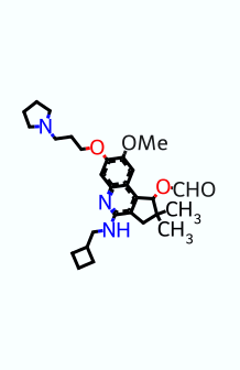 COc1cc2c3c(c(NCC4CCC4)nc2cc1OCCCN1CCCC1)CC(C)(C)C3OC=O